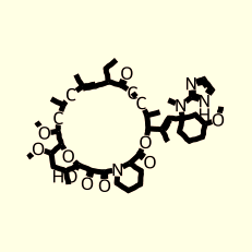 CCC1/C=C(\C)CC(C)CC(OC)C2OC(O)(C(=O)C(=O)N3CCCCC3C(=O)OC(C(C)=CC3(N(C)c4ncc[nH]4)CCCC(OC)C3)C(C)CCC1=O)C(C)CC2OC